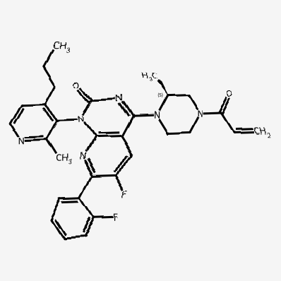 C=CC(=O)N1CCN(c2nc(=O)n(-c3c(CCC)ccnc3C)c3nc(-c4ccccc4F)c(F)cc23)[C@@H](C)C1